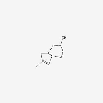 CC1=CC2CCC(O)CC2C1